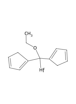 CCO[C]([Hf])(C1=CC=CC1)C1=CC=CC1